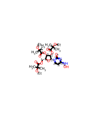 CCOC(C)(C)C(=O)OC[C@H]1O[C@@H](n2ccc(NO)nc2=O)[C@H](OC(=O)C(C)(C)OCC)[C@@H]1OC(=O)C(C)(C)OCC